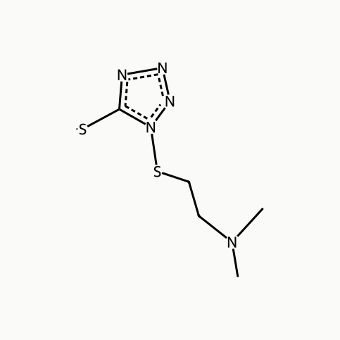 CN(C)CCSn1nnnc1[S]